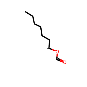 [CH2]CCCCC[CH]OC=O